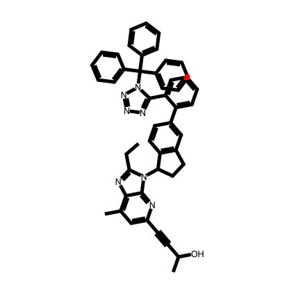 CCc1nc2c(C)cc(C#CC(C)O)nc2n1C1CCc2cc(-c3ccccc3-c3nnnn3C(c3ccccc3)(c3ccccc3)c3ccccc3)ccc21